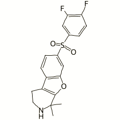 CC1(C)NCCc2c1oc1cc(S(=O)(=O)c3ccc(F)c(F)c3)ccc21